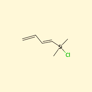 C=CC=C[Si](C)(C)Cl